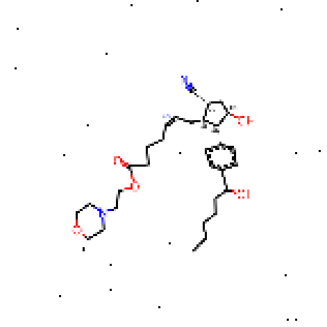 CCCCCC(O)c1ccc([C@@H]2[C@@H](C/C=C\CCCC(=O)OCCN3CCOCC3)[C@H](C#N)C[C@H]2O)cc1